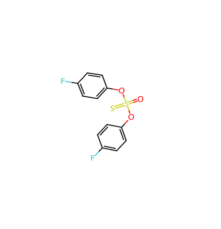 O=S(=S)(Oc1ccc(F)cc1)Oc1ccc(F)cc1